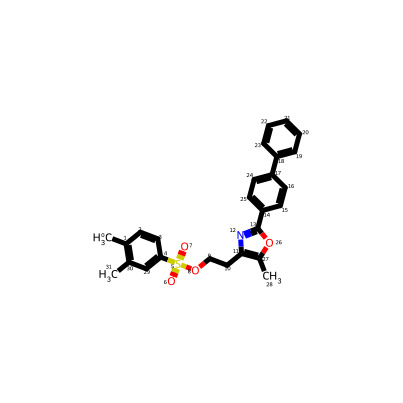 Cc1ccc(S(=O)(=O)OCCc2nc(-c3ccc(-c4ccccc4)cc3)oc2C)cc1C